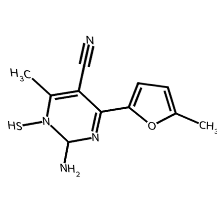 CC1=C(C#N)C(c2ccc(C)o2)=NC(N)N1S